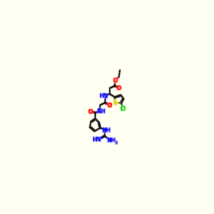 CCOC(=O)CC(NC(=O)CNC(=O)c1cccc(NC(=N)N)c1)c1ccc(Cl)s1